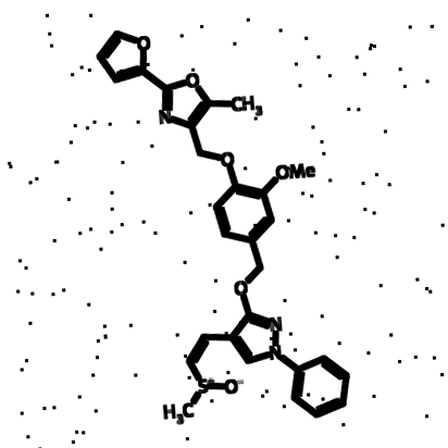 COc1cc(COc2nn(-c3ccccc3)cc2/C=C\[S+](C)[O-])ccc1OCc1nc(-c2ccco2)oc1C